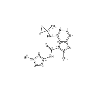 Cc1oc2ncnc(NC3(C)CC3)c2c1C(=O)Nc1ccn(C(C)C)n1